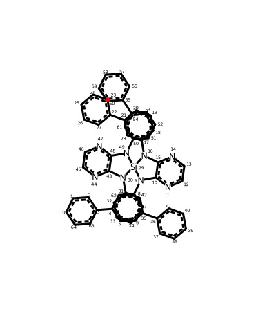 c1ccc(-c2cccc(N3c4nccnc4N(c4cccc(-c5ccccc5)c4)[Si]34N(c3cccc(-c5ccccc5)c3)c3nccnc3N4c3cccc(-c4ccccc4)c3)c2)cc1